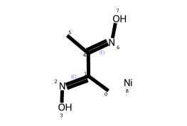 CC(=N\O)/C(C)=N/O.[Ni]